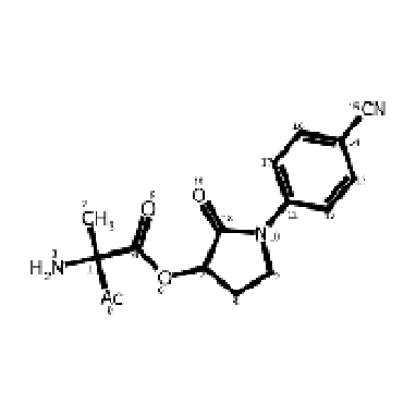 CC(=O)C(C)(N)C(=O)OC1CCN(c2ccc(C#N)cc2)C1=O